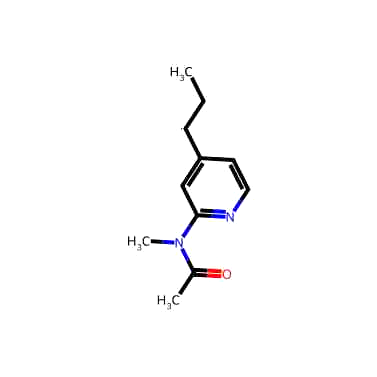 CC[CH]c1ccnc(N(C)C(C)=O)c1